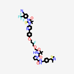 Cc1ncsc1-c1ccc(CNC(=O)C2CCCN2C(=O)C(NC(=O)COCC(F)CCOc2ccc(-c3ccc(N4C(=S)N(c5ccc(C#N)c(C(F)(F)F)c5F)C(=O)C4(C)C)cn3)cc2)C(C)(C)C)cc1